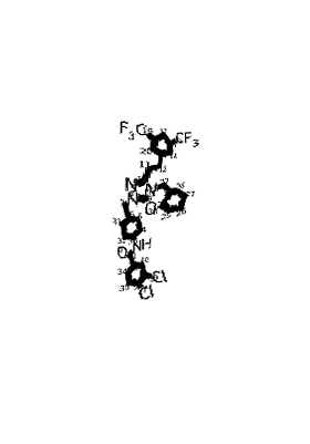 O=C(Nc1ccc(Cn2nc(CCc3cc(C(F)(F)F)cc(C(F)(F)F)c3)n(Cc3ccccc3)c2=O)cc1)c1ccc(Cl)c(Cl)c1